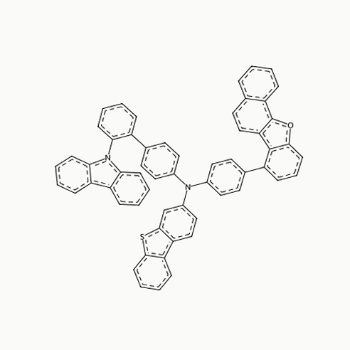 c1ccc(-n2c3ccccc3c3ccccc32)c(-c2ccc(N(c3ccc(-c4cccc5oc6c7ccccc7ccc6c45)cc3)c3ccc4c(c3)sc3ccccc34)cc2)c1